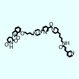 O=C(/C=C/c1cccnc1)NCCCCC1CCN(C(=O)c2ccc(N3CCN(CCCCOc4cccc5c4C(=O)N(C4CCC(=O)NC4=O)C5)CC3)nc2)CC1